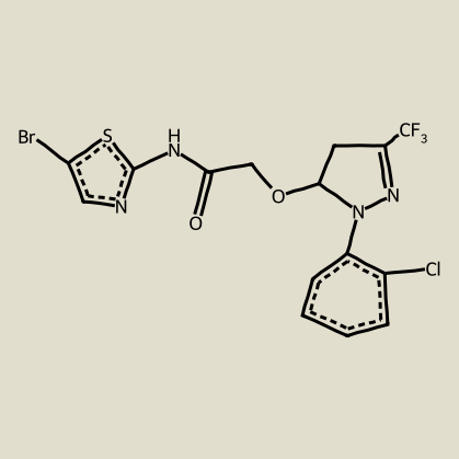 O=C(COC1CC(C(F)(F)F)=NN1c1ccccc1Cl)Nc1ncc(Br)s1